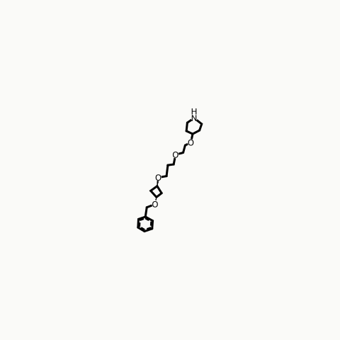 c1ccc(CO[C@H]2C[C@H](OCCCOCCOC3CCNCC3)C2)cc1